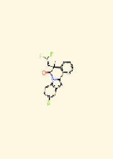 CC1(C=C(F)F)C(=O)n2c(cc3cc(F)ccc32)-c2ccccc21